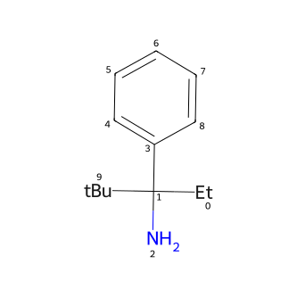 CCC(N)(c1ccccc1)C(C)(C)C